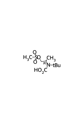 C[C@H](COS(C)(=O)=O)N(C(=O)O)C(C)(C)C